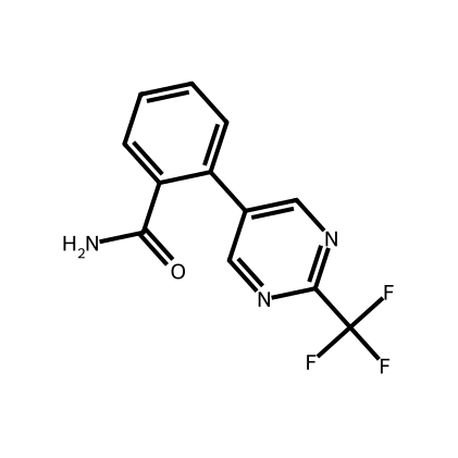 NC(=O)c1ccccc1-c1cnc(C(F)(F)F)nc1